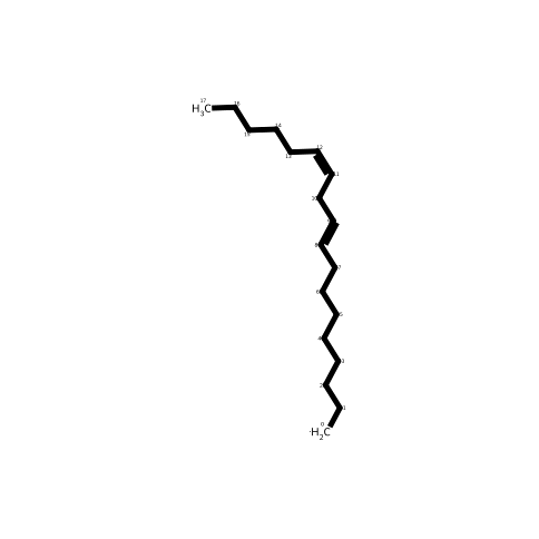 [CH2]CCCCCCC/C=C/C/C=C\CCCCC